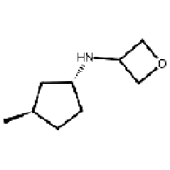 C[C@@H]1CC[C@@H](NC2COC2)C1